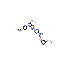 Cc1ccc(-n2nc(C)c3sc(N4CCC(NCCOc5cccc(C)c5)CC4)nc32)cc1